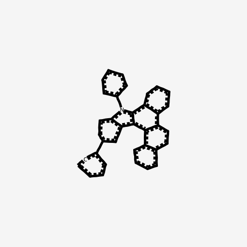 c1ccc(-c2ccc3c(c2)c2c4c5ccccc5ccc4c4ccccc4c2n3-c2ccccc2)cc1